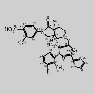 CCOC(=O)C1=C(CN2CC[C@@]3(F)C(=O)N(c4ccc(C(=O)O)c(Cl)c4)C[C@H]3C2)NC(c2nccs2)=N[C@H]1c1cccc(F)c1C